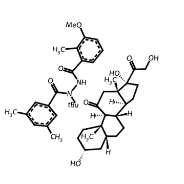 COc1cccc(C(=O)NN(C(=O)c2cc(C)cc(C)c2)C(C)(C)C)c1C.C[C@]12CC[C@@H](O)C[C@H]1CC[C@@H]1[C@@H]2C(=O)C[C@@]2(C)[C@H]1CC[C@]2(O)C(=O)CO